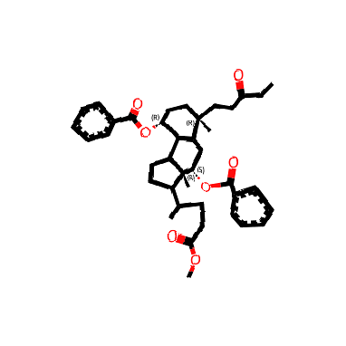 CCC(=O)CC[C@@]1(C)CC[C@@H](OC(=O)c2ccccc2)C2C1C[C@H](OC(=O)c1ccccc1)[C@]1(C)C(C(C)CCC(=O)OC)CCC21